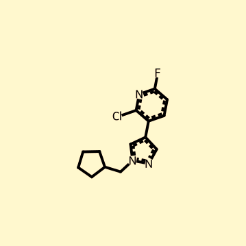 Fc1ccc(-c2cnn(CC3CCCC3)c2)c(Cl)n1